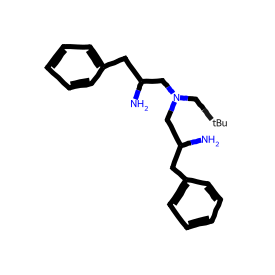 CC(C)(C)CN(CC(N)Cc1ccccc1)CC(N)Cc1ccccc1